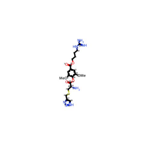 COc1cc(C(=O)OCCCCNC(=N)N)cc(OC)c1OC(=O)[C@@H](N)CSCc1c[nH]nn1